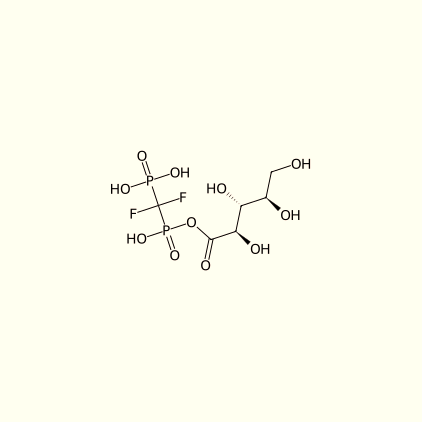 O=C(OP(=O)(O)C(F)(F)P(=O)(O)O)[C@H](O)[C@H](O)[C@H](O)CO